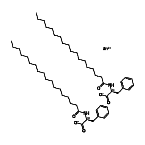 CCCCCCCCCCCCCCCCCC(=O)N[C@@H](Cc1ccccc1)C(=O)[O-].CCCCCCCCCCCCCCCCCC(=O)N[C@@H](Cc1ccccc1)C(=O)[O-].[Zn+2]